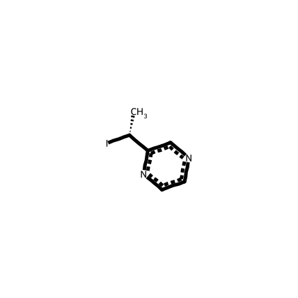 C[C@@H](I)c1cnccn1